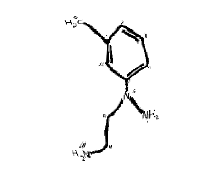 Cc1cccc(N(N)CCN)c1